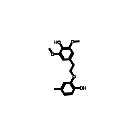 COc1cc(CCOc2cc(C)ccc2O)cc(OC)c1O